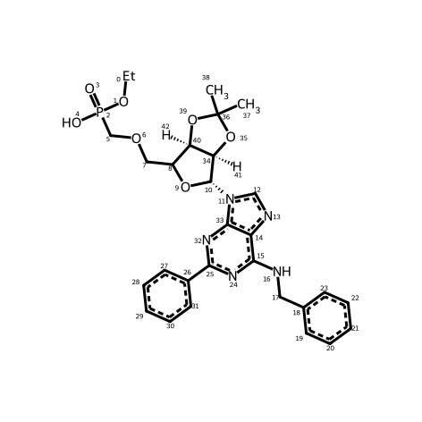 CCOP(=O)(O)COCC1O[C@@H](n2cnc3c(NCc4ccccc4)nc(-c4ccccc4)nc32)[C@@H]2OC(C)(C)O[C@H]12